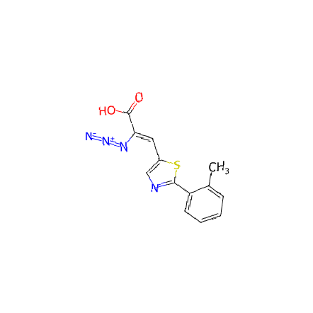 Cc1ccccc1-c1ncc(/C=C(\N=[N+]=[N-])C(=O)O)s1